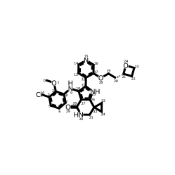 COc1c(Cl)cccc1Nc1c(-c2ccncc2OCC[C@H]2CCO2)[nH]c2c1C(=O)NCC21CC1